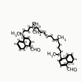 CN(CCCN(C)c1ccc(C=O)c2ccccc12)CCSSCC[N+](C)(C)CCCN(C)C1=CC=C(C=O)C2CC=CC=C12